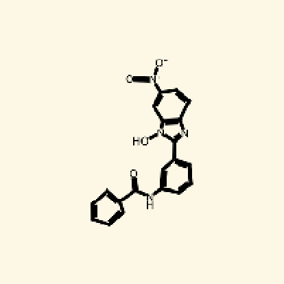 O=C(Nc1cccc(-c2nc3ccc([N+](=O)[O-])cc3n2O)c1)c1ccccc1